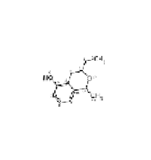 CCC1Cc2c(O)cccc2C(C)O1